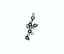 CN1CCC(Oc2cc(OCC3CCNCC3)cc3ncnc(Nc4ccc(OCc5cccc(F)c5)c(Cl)c4)c23)CC1